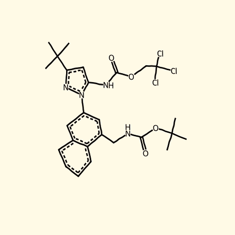 CC(C)(C)OC(=O)NCc1cc(-n2nc(C(C)(C)C)cc2NC(=O)OCC(Cl)(Cl)Cl)cc2ccccc12